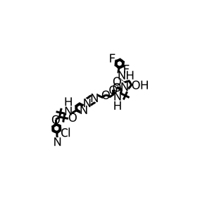 CC(C)(C)C(NC(=O)COCCN1CCN(c2ccc(C(=O)NC3C(C)(C)C(Oc4ccc(C#N)c(Cl)c4)C3(C)C)cn2)CC1)C(=O)N1C[C@H](O)C[C@H]1C(=O)NCc1cc(F)ccc1F